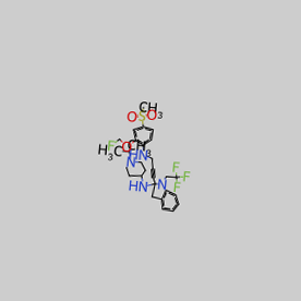 CC(C)N1CCC(NC2(C#CCNc3ccc(S(C)(=O)=O)cc3OCF)Cc3ccccc3N2CC(F)(F)F)CC1